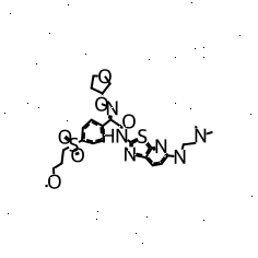 COCCCS(=O)(=O)c1ccc(/C(=N\O[C@@H]2CCOC2)C(=O)Nc2nc3ccc(N(C)CCN(C)C)nc3s2)cc1